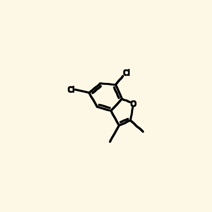 Cc1oc2c(Cl)cc(Cl)cc2c1C